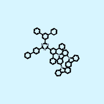 C1=CCC(c2cc(-c3ccccc3)cc(-c3nc(-c4ccc(-c5ccccc5)cc4)nc(-c4cc(-c5ccccc5)c(-n5c6ccc(-n7c8ccccc8c8ccccc87)cc6c6c(-n7c8ccccc8c8ccccc87)cccc65)c(-c5ccccc5)c4)n3)c2)C=C1